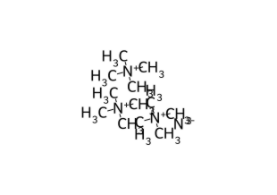 C[N+](C)(C)C.C[N+](C)(C)C.C[N+](C)(C)C.[N-3]